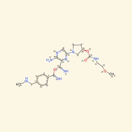 CNCc1ccc(C(=N)OC(=N)c2nc(N3CC[C@@H](OC(=O)NCCOC)C3)cnc2N)cc1